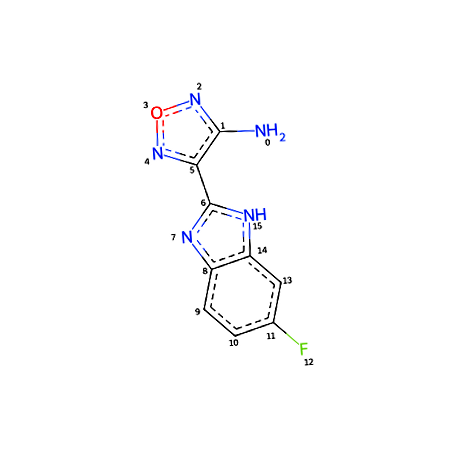 Nc1nonc1-c1nc2ccc(F)cc2[nH]1